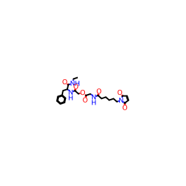 CCNC(=O)C(Cc1ccccc1)NC(=O)COC(=O)CNC(=O)CCCCCN1C(=O)C=CC1=O